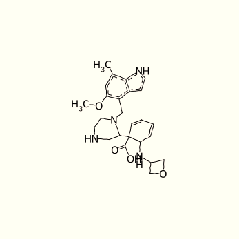 COc1cc(C)c2[nH]ccc2c1CN1CCNCC1C1(C(=O)O)C=CC=CC1NC1COC1